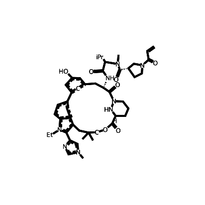 C=CC(=O)N1CC[C@H](C(=O)N(C)C(C(=O)N[C@H]2Cc3cc(O)cc(c3)-c3ccc4c(c3)c(c(-c3cn(C)cn3)n4CC)CC(C)(C)COC(=O)[C@@H]3CCCN(N3)C2=O)C(C)C)C1